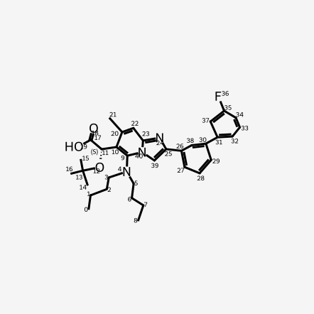 CCCCN(CCCC)c1c([C@H](OC(C)(C)C)C(=O)O)c(C)cc2nc(-c3cccc(-c4cccc(F)c4)c3)cn12